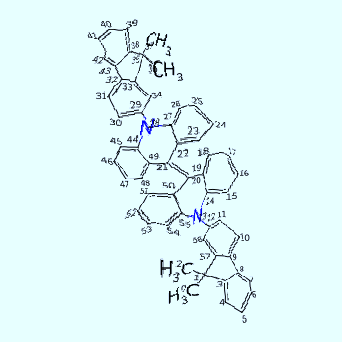 CC1(C)c2ccccc2-c2ccc(N3c4ccccc4C(=C4c5ccccc5N(c5ccc6c(c5)C(C)(C)c5ccccc5-6)c5ccccc54)c4ccccc43)cc21